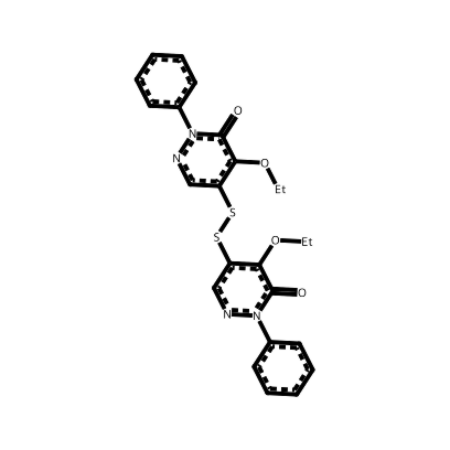 CCOc1c(SSc2cnn(-c3ccccc3)c(=O)c2OCC)cnn(-c2ccccc2)c1=O